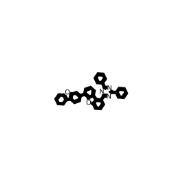 C1=Cc2oc3cc(-c4cccc5c4oc4cccc(-c6nc(-c7ccccc7)nc(-c7ccccc7)n6)c45)ccc3c2CC1